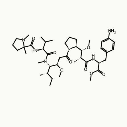 CC[C@H](C)[C@@H]([C@@H](CC(=O)N1CCC[C@H]1[C@H](OC)[C@@H](C)C(=O)N[C@@H](Cc1ccc(N)cc1)C(=O)OC)OC)N(C)C(=O)[C@@H](NC(=O)C1(C)CCCN1C)C(C)C